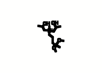 CO[Si](C)(CCC[N+](C)(CC(C)O)CC(C)O)OC